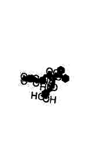 C[C@@]1(COC(=O)NCc2ccc(O)c(O)c2)SC2/C(=C\c3cc(C(=O)Oc4ccc([N+](=O)[O-])cc4)ccn3)C(=O)N2[C@H]1C(=O)OC(c1ccccc1)c1ccccc1